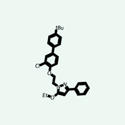 CCOc1cc(-c2ccccc2)nn1CCOc1ccc(-c2ccc(C(C)(C)C)cc2)cc1Cl